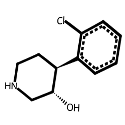 O[C@@H]1CNCC[C@H]1c1ccccc1Cl